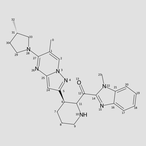 Cc1cn2nc([C@@H]3CCCNC3C(=O)c3nc4ccccc4n3C)cc2nc1N1CC[C@H](C)C1